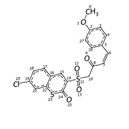 COc1ccc(/C=C\C(=O)CS(=O)(=O)c2cc3ccc(Cl)cc3sc2=O)cc1